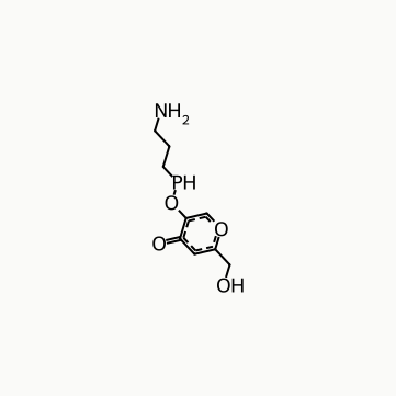 NCCCPOc1coc(CO)cc1=O